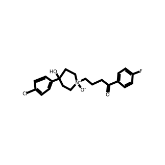 O=C(CCC[N+]1([O-])CCC(O)(c2ccc(Cl)cc2)CC1)c1ccc(F)cc1